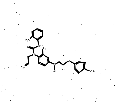 C=CCN(C(=O)Nc1ccccc1C)c1ccc(N(CCOc2ccc(C(=O)O)cc2)C(C)=O)cc1C